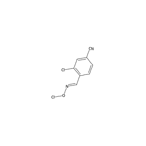 N#Cc1ccc(C=NOCl)c(Cl)c1